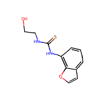 OCCNC(=S)Nc1cccc2ccoc12